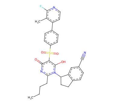 CCCCc1nc(=O)c(S(=O)(=O)c2ccc(-c3ccnc(F)c3C)cc2)c(O)n1C1CCc2ccc(C#N)cc21